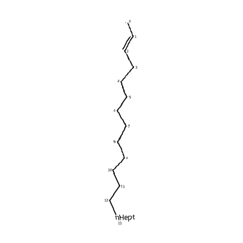 [CH2]/C=C/CCCCCCCCCCCCCCCC[CH2]